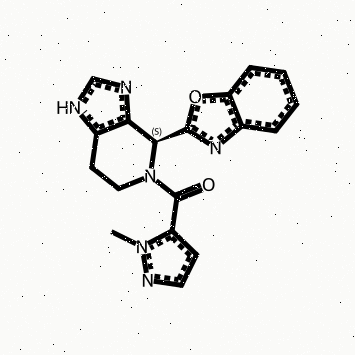 Cn1nccc1C(=O)N1CCc2[nH]cnc2[C@H]1c1nc2ccccc2o1